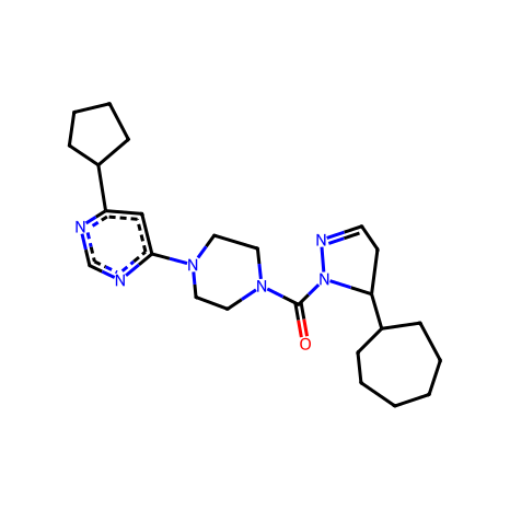 O=C(N1CCN(c2cc(C3CCCC3)ncn2)CC1)N1N=CCC1C1CCCCCC1